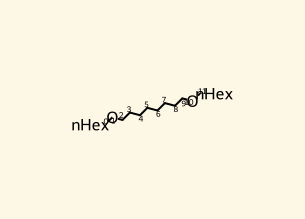 CCCCCCOCCCCCCCCOCCCCCC